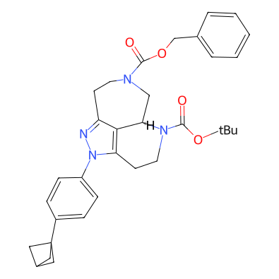 CC(C)(C)OC(=O)N1CCc2c3c(nn2-c2ccc(C45CC(C4)C5)cc2)CCN(C(=O)OCc2ccccc2)C[C@H]31